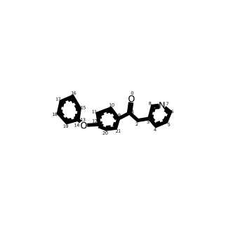 O=C(Cc1cccnc1)c1ccc(Oc2ccccc2)cc1